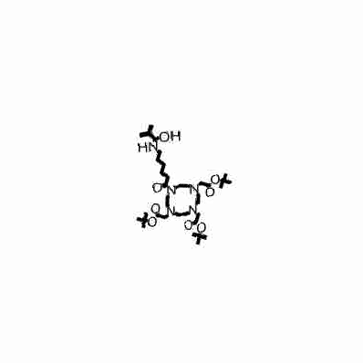 C=C(C)C(O)NCCCCCC(=O)N1CCN(CC(=O)OC(C)(C)C)CCN(CC(=O)OC(C)(C)C)CCN(CC(=O)OC(C)(C)C)CC1